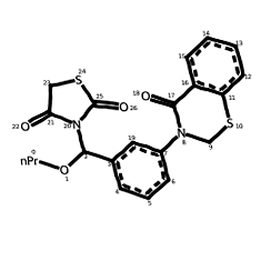 CCCOC(c1cccc(N2CSc3ccccc3C2=O)c1)N1C(=O)CSC1=O